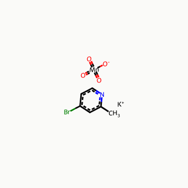 Cc1cc(Br)ccn1.[K+].[O]=[Mn](=[O])(=[O])[O-]